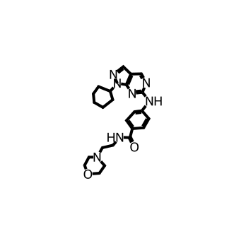 O=C(NCCN1CCOCC1)c1ccc(Nc2ncc3cnn(C4CCCCC4)c3n2)cc1